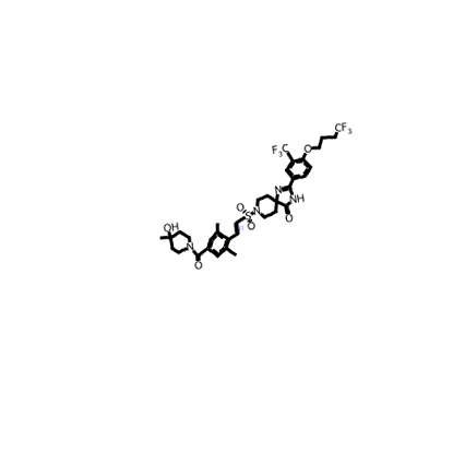 Cc1cc(C(=O)N2CCC(C)(O)CC2)cc(C)c1/C=C/S(=O)(=O)N1CCC2(CC1)N=C(c1ccc(OCCCC(F)(F)F)c(C(F)(F)F)c1)NC2=O